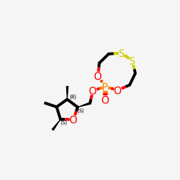 CC1[C@H](C)O[C@H](COP2(=O)OCCSSCCO2)[C@@H]1C